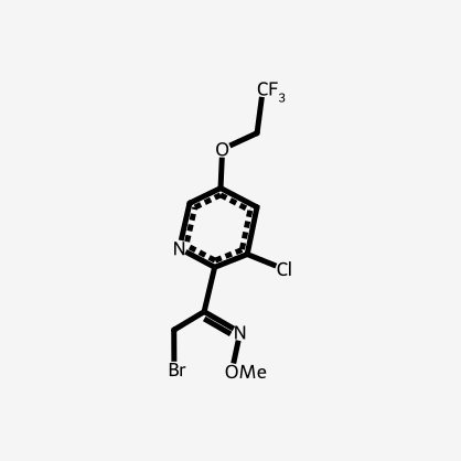 CON=C(CBr)c1ncc(OCC(F)(F)F)cc1Cl